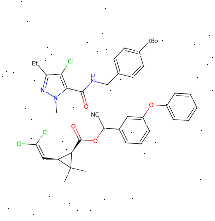 CC1(C)[C@H](C(=O)OC(C#N)c2cccc(Oc3ccccc3)c2)[C@@H]1C=C(Cl)Cl.CCc1nn(C)c(C(=O)NCc2ccc(C(C)(C)C)cc2)c1Cl